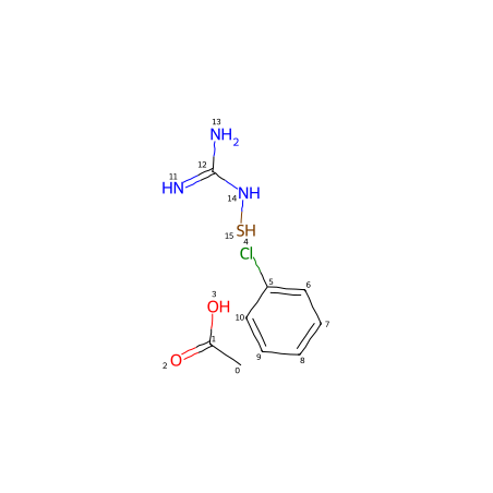 CC(=O)O.Clc1ccccc1.N=C(N)NS